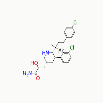 CC(=O)C(C)(CCc1ccc(Cl)cc1)[C@H]1NC[C@@H](C[C@H](O)C(N)=O)C[C@@H]1c1cccc(Cl)c1